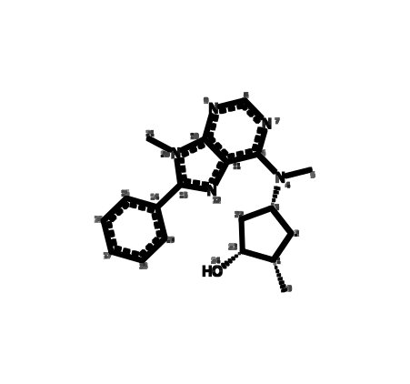 C[C@H]1C[C@@H](N(C)c2ncnc3c2nc(-c2ccccc2)n3C)C[C@H]1O